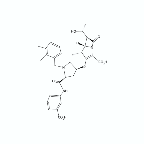 Cc1cccc(CN2C[C@@H](SC3=C(C(=O)O)N4C(=O)[C@H]([C@@H](C)O)[C@H]4[C@H]3C)C[C@H]2C(=O)Nc2cccc(C(=O)O)c2)c1C